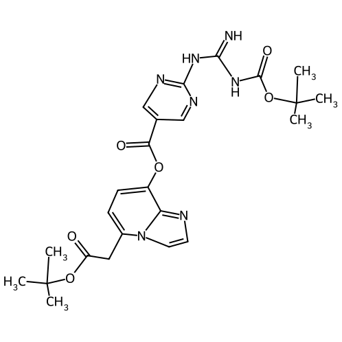 CC(C)(C)OC(=O)Cc1ccc(OC(=O)c2cnc(NC(=N)NC(=O)OC(C)(C)C)nc2)c2nccn12